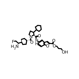 N[C@H](CF)[C@H]1CC[C@H](C(=O)N2CCC(C3CCCCC3)[C@H]2C(=O)Nc2ccc3oc(C(=O)OCCCO)cc3c2)CC1